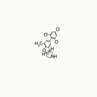 Cc1cc(-c2c(Cl)cc(Cl)cc2Cl)cc2c1O[C@H]1CCNC[C@@H]21